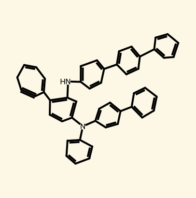 C1#CC(c2ccc(N(c3ccccc3)c3ccc(-c4ccccc4)cc3)cc2Nc2ccc(-c3ccc(-c4ccccc4)cc3)cc2)=CC=CC1